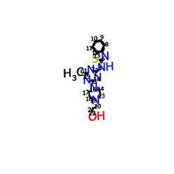 Cc1nc(Nc2nc3ccccc3s2)nc(N2CCN(CCO)CC2)n1